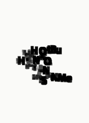 CNc1nc([C@@H]2C[C@H]3C[C@H]3N2C(=O)OC(C)(C)C)cs1